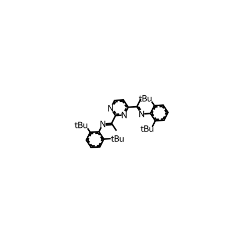 C/C(=N\c1c(C(C)(C)C)cccc1C(C)(C)C)c1ccnc(/C(C)=N/c2c(C(C)(C)C)cccc2C(C)(C)C)n1